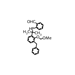 COCOc1c(Cc2ccccc2)cccc1C(C)(C)Pc1ccccc1C=O